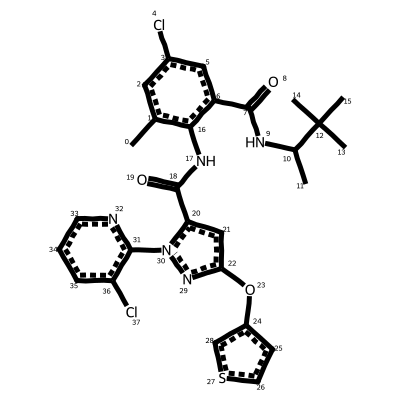 Cc1cc(Cl)cc(C(=O)NC(C)C(C)(C)C)c1NC(=O)c1cc(Oc2ccsc2)nn1-c1ncccc1Cl